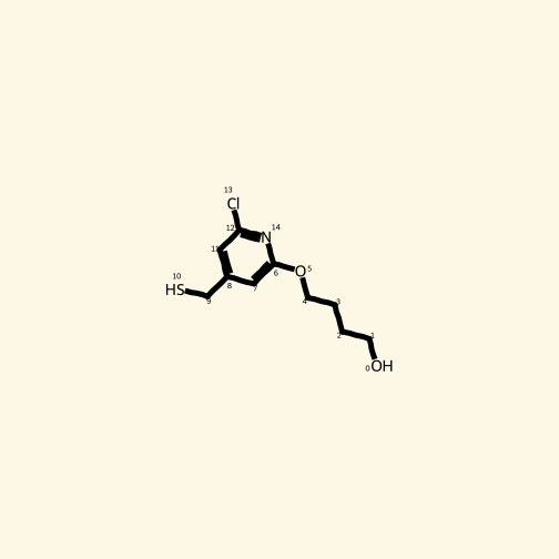 OCCCCOc1cc(CS)cc(Cl)n1